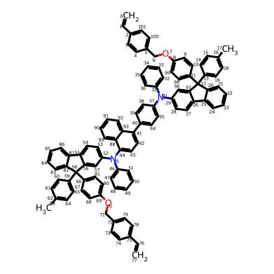 C=Cc1ccc(COc2ccc(C3(c4ccc(C)cc4)c4ccccc4-c4ccc(N(c5ccccc5)c5ccc(-c6ccc(N(c7ccccc7)c7ccc8c(c7)C(c7ccc(C)cc7)(c7ccc(OCc9ccc(C=C)cc9)cc7)c7ccccc7-8)c7ccccc67)cc5)cc43)cc2)cc1